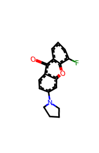 O=c1c2ccc(N3CCCC3)cc2oc2c(F)cccc12